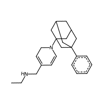 CCNCC1=CCN(C23CC4CC(CC(c5ccccc5)(C4)C2)C3)C=C1